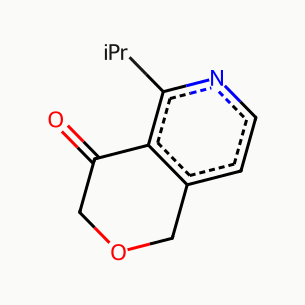 CC(C)c1nccc2c1C(=O)COC2